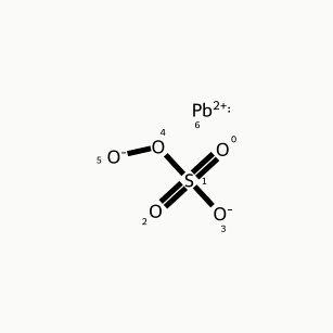 O=S(=O)([O-])O[O-].[Pb+2]